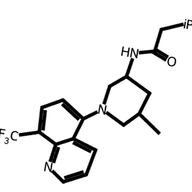 CC(C)CC(=O)NC1CC(C)CN(c2ccc(C(F)(F)F)c3ncccc23)C1